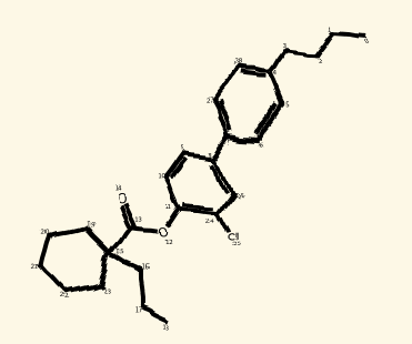 CCCCc1ccc(-c2ccc(OC(=O)C3(CCC)CCCCC3)c(Cl)c2)cc1